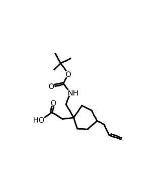 C=CCC1CCC(CNC(=O)OC(C)(C)C)(CC(=O)O)CC1